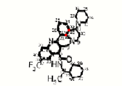 C[C@H](NC(=O)c1c(CN2CCC(N3CCCCC3)CC2)c(-c2ccccc2)nc2ccc(C(F)(F)F)cc12)C1CCCCC1